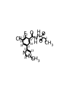 CCS(=O)(=O)NNC(=O)c1cc(-c2cn(C)cn2)cc(Cl)c1F